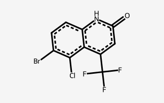 O=c1cc(C(F)(F)F)c2c(Cl)c(Br)ccc2[nH]1